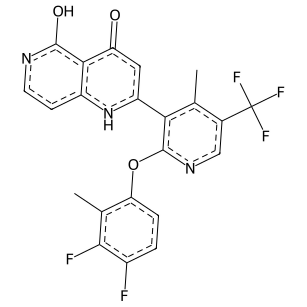 Cc1c(Oc2ncc(C(F)(F)F)c(C)c2-c2cc(=O)c3c(O)nccc3[nH]2)ccc(F)c1F